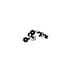 Cc1oc(CC(C)(C)C)nc1CCOc1ccc2c(c1)C(C(=O)O)N(Cc1ccccc1)CC2